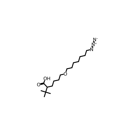 CC(C)(C)C(CCCCOCCCCCCCN=[N+]=[N-])C(=O)O